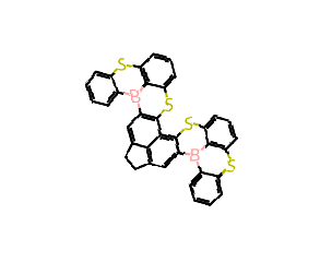 c1ccc2c(c1)Sc1cccc3c1B2c1cc2c4c(cc5c(c4c1S3)Sc1cccc3c1B5c1ccccc1S3)CC2